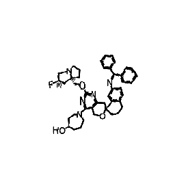 OC1CCCN(c2nc(OC[C@@]34CCCN3C[C@H](F)C4)nc3c2COC2(CCCc4ccc(N=C(c5ccccc5)c5ccccc5)cc42)C3)CC1